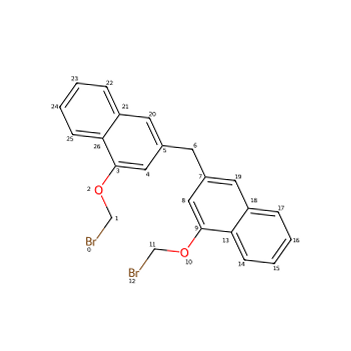 BrCOc1cc(Cc2cc(OCBr)c3ccccc3c2)cc2ccccc12